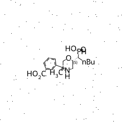 CCCCC([C@@H]1CN[C@](C)(c2cccc(C(=O)O)c2)CO1)[PH](=O)O